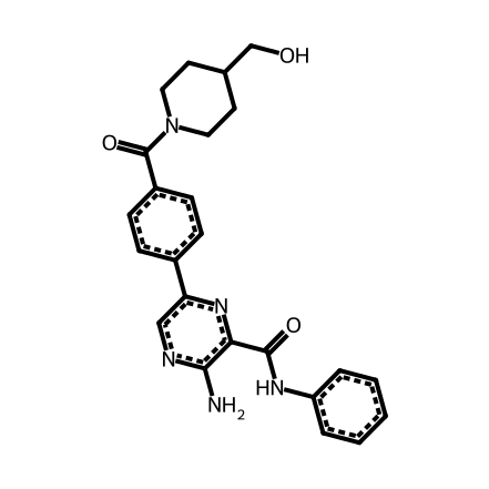 Nc1ncc(-c2ccc(C(=O)N3CCC(CO)CC3)cc2)nc1C(=O)Nc1ccccc1